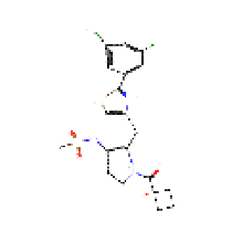 CS(=O)(=O)NC1CCN(C(=O)C2(O)CCC2)C1Cc1csc(-c2cc(F)cc(F)c2)n1